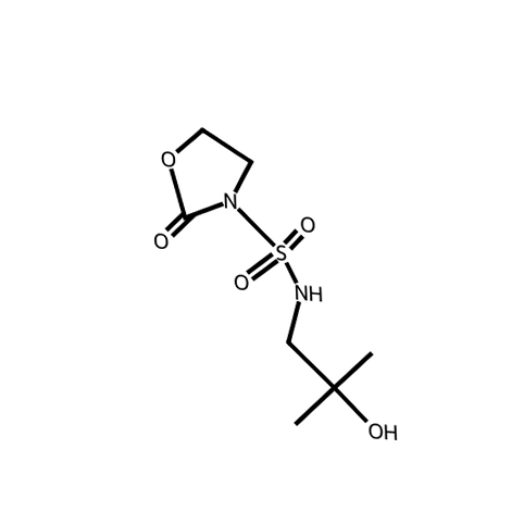 CC(C)(O)CNS(=O)(=O)N1CCOC1=O